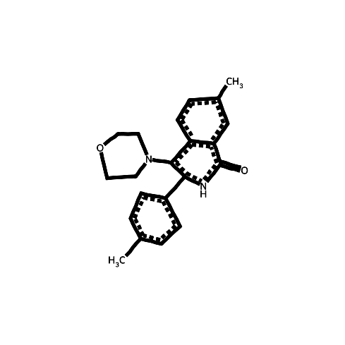 Cc1ccc(-c2[nH]c(=O)c3cc(C)ccc3c2N2CCOCC2)cc1